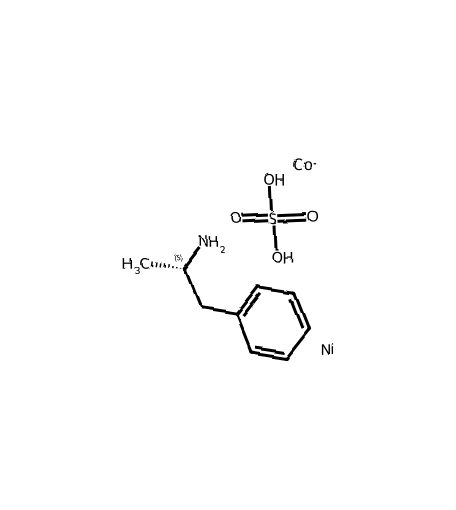 C[C@H](N)Cc1ccccc1.O=S(=O)(O)O.[Co].[Ni]